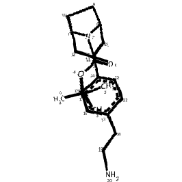 CC(C)(C)OC(=O)N1C2CCC1CC(c1ccc(CCN)cc1)C2